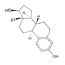 CC[C@]12CC[C@@H]3c4ccc(O)cc4CC[C@H]3[C@@H]1CC[C@@H]2O